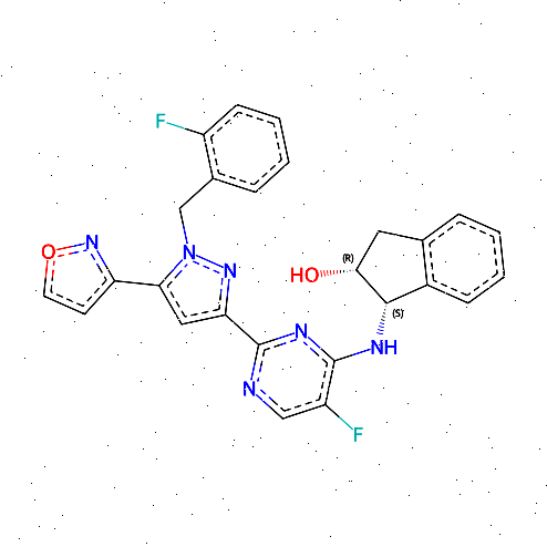 O[C@@H]1Cc2ccccc2[C@@H]1Nc1nc(-c2cc(-c3ccon3)n(Cc3ccccc3F)n2)ncc1F